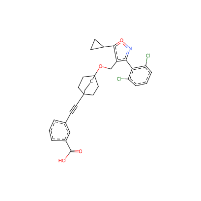 O=C(O)c1cccc(C#CC23CCC(OCc4c(-c5c(Cl)cccc5Cl)noc4C4CC4)(CC2)CC3)c1